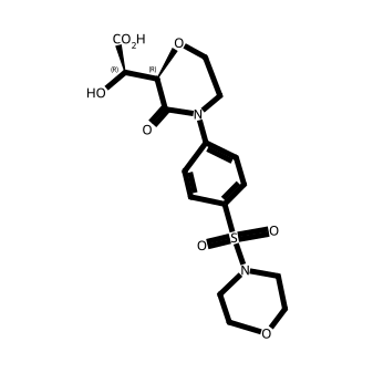 O=C(O)[C@H](O)[C@H]1OCCN(c2ccc(S(=O)(=O)N3CCOCC3)cc2)C1=O